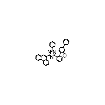 c1ccc(-c2ccc3c(c2)oc2cccc(-c4nc(-c5ccccc5)nc(-c5cc6ccccc6c6ccccc56)n4)c23)cc1